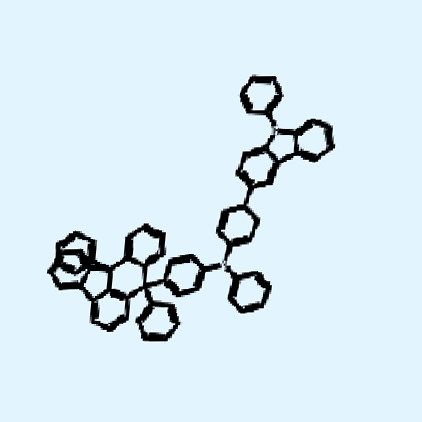 C1=CC(c2ccc3c(c2)c2ccccc2n3-c2ccccc2)CC=C1N(c1ccccc1)c1ccc(C2(c3ccccc3)c3ccccc3C3(c4ccccc4)c4ccccc4-c4cccc2c43)cc1